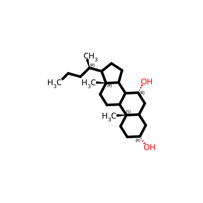 CCC[C@@H](C)C1CCC2C3C(CC[C@@]21C)[C@@]1(C)CC[C@@H](O)CC1C[C@H]3O